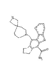 NC(=O)c1c2c(c(N3CCC4(CCNC4)CC3)n3c1nc1ccccc13)CCC2